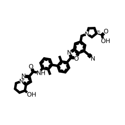 Cc1c(NC(=O)c2cc3n(n2)CCCC3O)cccc1-c1cccc(-c2nc3cc(CN4CC[C@@H](C(=O)O)C4)cc(C#N)c3o2)c1C